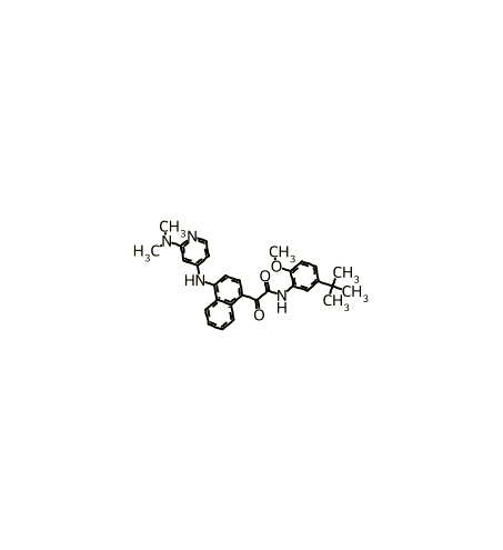 COc1ccc(C(C)(C)C)cc1NC(=O)C(=O)c1ccc(Nc2ccnc(N(C)C)c2)c2ccccc12